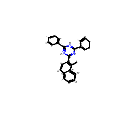 Cc1c(-c2nc(C3=CCCC=C3)nc(-c3ccccc3)n2)ccc2ccccc12